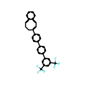 FC(F)(F)c1cc(-c2ccc(-c3ccc(/C4=C/C=c5/cccc/c5=C/CC4)cc3)cc2)cc(C(F)(F)F)c1